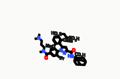 COc1cccc(OC)c1-c1cc(C(=O)NC2(C(=O)O)C3CC4CC(C3)CC2C4)nn1-c1ccc(C(=O)N(C)CCCN(C)C)cc1C(C)C.O=S(=O)(O)CCS(=O)(=O)O